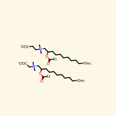 CCCCCCCCCCCCCCCCCCC(C[N+](C)(C)CC(=O)[O-])OC(=O)CC.CCCCCCCCCCCCCCCCCCC(C[N+](C)(C)CCC(=O)[O-])OC(=O)CC